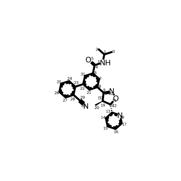 CC(C)NC(=O)c1cc(C2=NO[C@H](c3ccccn3)[C@H]2C)cc(-c2ccccc2C#N)c1